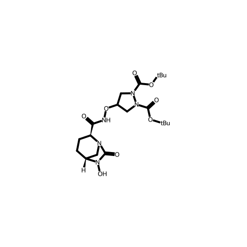 CC(C)(C)OC(=O)N1CC(ONC(=O)[C@@H]2CC[C@@H]3CN2C(=O)N3O)CN1C(=O)OC(C)(C)C